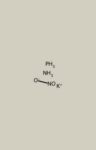 N.O=N[O-].P.[K+]